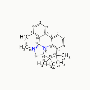 Cc1cccc2c3cccc4c3n3c(c[n+](C)c3c12)C(C)(C)C4(C)C